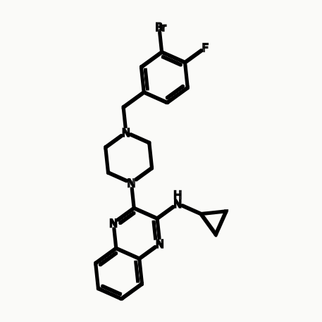 Fc1ccc(CN2CCN(c3nc4ccccc4nc3NC3CC3)CC2)cc1Br